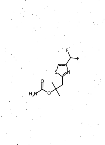 CC(C)(Cc1nc(C(F)F)cs1)OC(N)=O